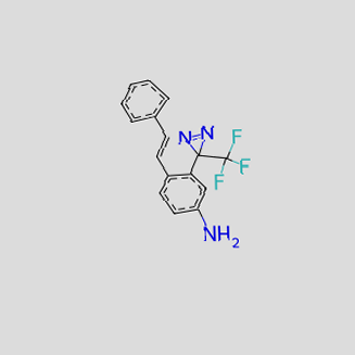 Nc1ccc(C=Cc2ccccc2)c(C2(C(F)(F)F)N=N2)c1